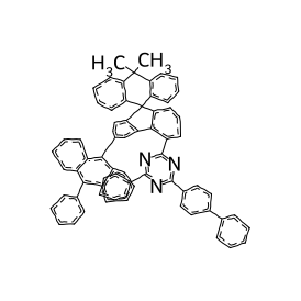 CC1(C)c2ccccc2C2(c3ccc(-c4c5ccccc5c(-c5ccccc5)c5ccccc45)cc3-c3c(-c4nc(-c5ccccc5)nc(-c5ccc(-c6ccccc6)cc5)n4)cccc32)c2ccccc21